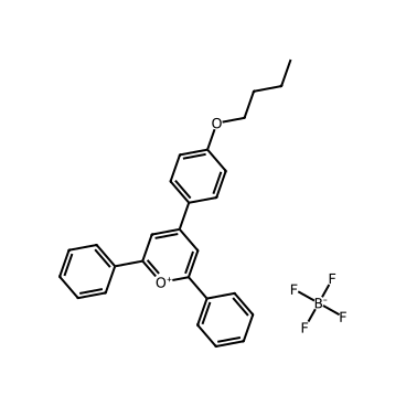 CCCCOc1ccc(-c2cc(-c3ccccc3)[o+]c(-c3ccccc3)c2)cc1.F[B-](F)(F)F